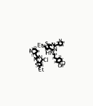 CCc1cc2c(Cl)nc(-c3cccnc3)nc2s1.CCc1cc2c(NCCc3ccc4c(c3)OCO4)nc(-c3cccnc3)nc2s1